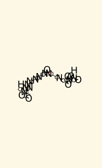 CC(=O)c1c(C)c2cnc(Nc3ccc(N4CCN(C5CCN(C(=O)N6CCC(C7CCN(c8ccc9c(c8)C(=O)N(C8CCC(=O)NC8=O)C9=O)CC7)CC6)CC5)CC4)cn3)nc2n(C2CCCC2)c1=O